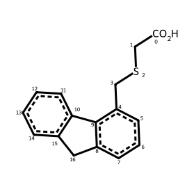 O=C(O)CSCc1cccc2c1-c1ccccc1C2